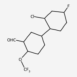 O=CC1CC(C2CCC(F)CC2Cl)CCC1OC(F)(F)F